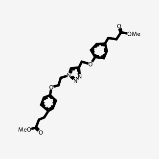 COC(=O)CCc1ccc(OCCn2cc(COc3ccc(CCC(=O)OC)cc3)nn2)cc1